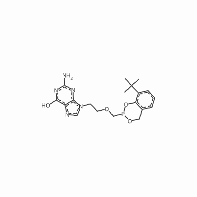 CC(C)(C)c1cccc2c1OP(COCCn1cnc3c(O)nc(N)nc31)OC2